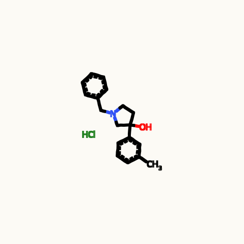 Cc1cccc(C2(O)CCN(Cc3ccccc3)C2)c1.Cl